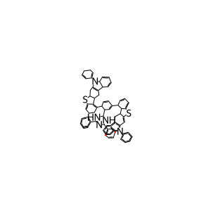 c1cccc(C2=NC(C3=CC=CCC3)NC(C3C=C(C4C=CC=C5SC6=Cc7c(c8ccccc8n7-c7ccccc7)CC6C54)C=CC3C3=C4C(=CCC3)SC3CC5=C(CC43)C3C=CC=CC3N5C3=CCCC=C3)N2)c#1